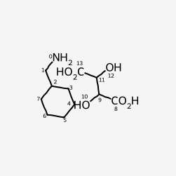 NCC1CCCCC1.O=C(O)C(O)C(O)C(=O)O